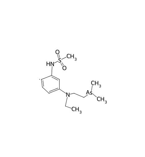 CCN(CC[As](C)C)c1cc[c]c(NS(C)(=O)=O)c1